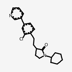 O=C1C(CCc2ccc(-c3cccnc3)cc2Cl)CCN1C1CCCCC1